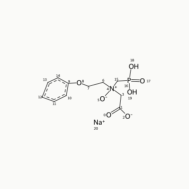 O=C([O-])C[N+]([O-])(CCOc1ccccc1)CP(=O)(O)O.[Na+]